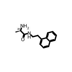 C[C@@H](N)C(=O)NCCc1cccc2ccccc12